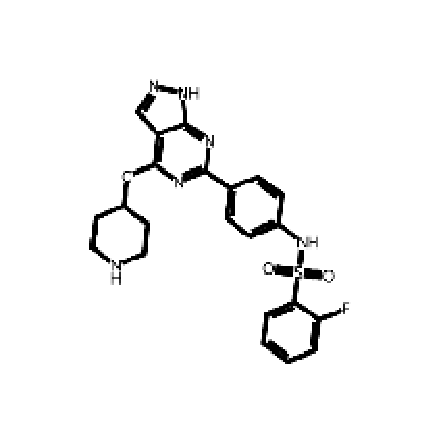 O=S(=O)(Nc1ccc(-c2nc(OC3CCNCC3)c3cn[nH]c3n2)cc1)c1ccccc1F